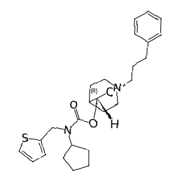 O=C(O[C@H]1C[N+]2(CCCc3ccccc3)CCC1CC2)N(Cc1cccs1)C1CCCC1